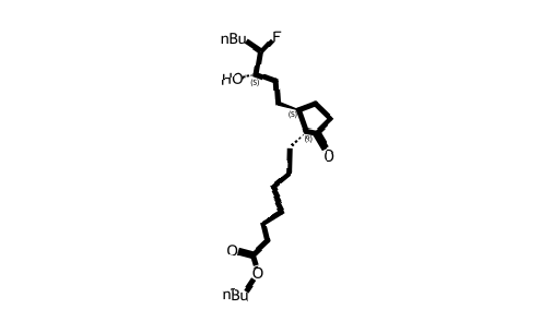 CCCCOC(=O)CCCCCC[C@H]1C(=O)CC[C@@H]1CC[C@H](O)C(F)CCCC